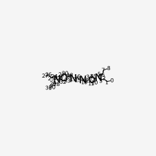 CCCCN(CCCC)c1ccc(/C=N/CC/N=C/c2ccc(N(CCCC)CCCC)cc2)cc1